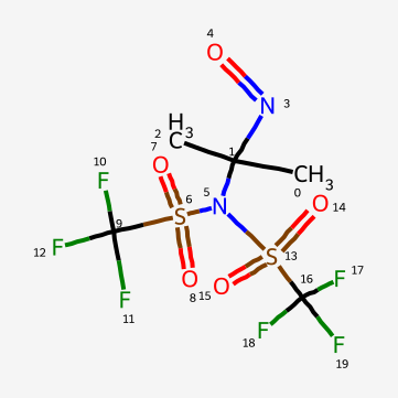 CC(C)(N=O)N(S(=O)(=O)C(F)(F)F)S(=O)(=O)C(F)(F)F